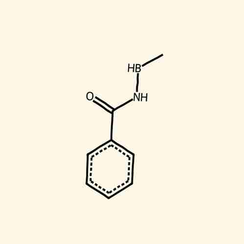 CBNC(=O)c1ccccc1